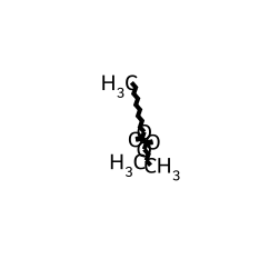 CCCCCCCCCOC(=O)C(=O)OCC(C)C